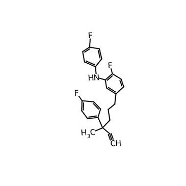 C#CC(C)(CCCc1ccc(F)c(Nc2ccc(F)cc2)c1)c1ccc(F)cc1